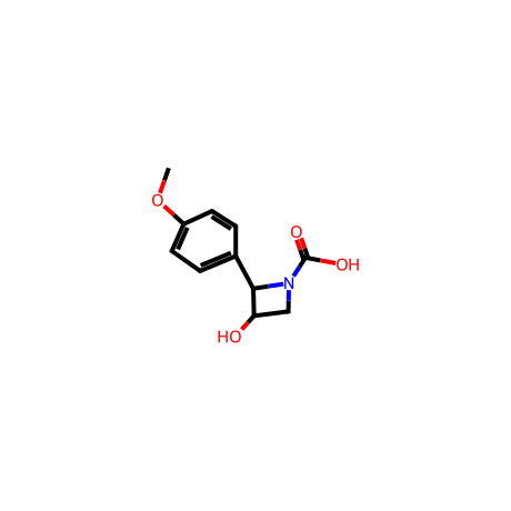 COc1ccc(C2C(O)CN2C(=O)O)cc1